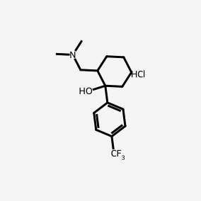 CN(C)CC1CCCCC1(O)c1ccc(C(F)(F)F)cc1.Cl